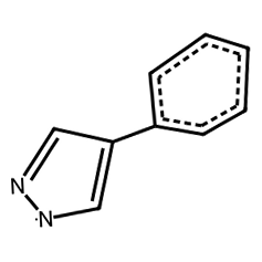 C1=N[N]C=C1c1ccccc1